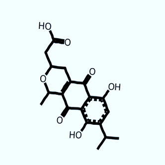 CC1OC(CC(=O)O)CC2=C1C(=O)c1c(O)c(C(C)C)cc(O)c1C2=O